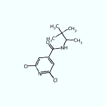 CC(NC(=O)c1cc(Cl)nc(Cl)c1)C(C)(C)C